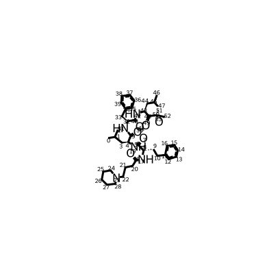 CC(C)C[C@H](NC(=O)[C@H](CCc1ccccc1)NC(=O)CCCN1CCCCC1)C(=O)N[C@@H](Cc1ccccc1)C(=O)N[C@@H](CC(C)C)C(=O)[C@@]1(C)CO1